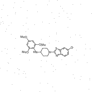 COc1cc(OC)c(NC2CCN(c3nc4ccc([O])cc4s3)CC2)c(OC)c1